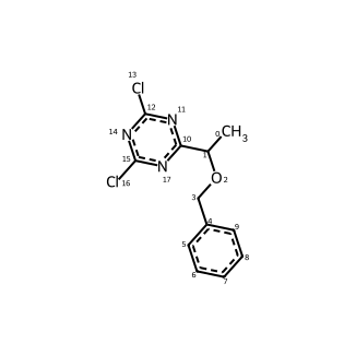 CC(OCc1ccccc1)c1nc(Cl)nc(Cl)n1